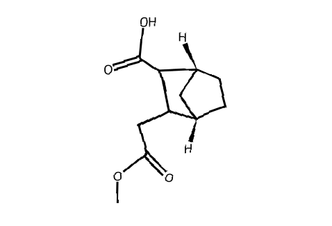 COC(=O)CC1C(C(=O)O)[C@@H]2CC[C@H]1C2